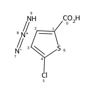 O=C(O)c1ccc(Cl)s1.[N-]=[N+]=N